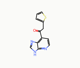 O=C(Cc1cccs1)c1ccnc2[nH]cnc12